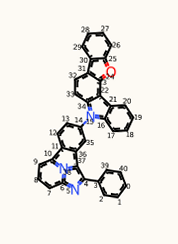 c1ccc(-c2nc3cccc4c5ccc(-n6c7ccccc7c7c8oc9ccccc9c8ccc76)cc5c2n34)cc1